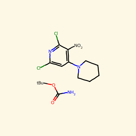 CC(C)(C)OC(N)=O.O=[N+]([O-])c1c(N2CCCCC2)cc(Cl)nc1Cl